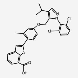 Cc1cc(OCc2c(C(C)C)cnn2-c2c(Cl)cccc2Cl)ccc1-c1cc2cccc(C(=O)O)c2s1